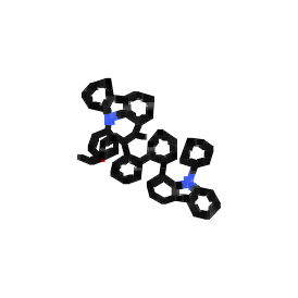 C/C=C\C=C/C(c1ccccc1-c1ccccc1C1=CCCc2c1n(-c1ccccc1)c1ccccc21)C(C)c1cccc2c3ccccc3n(C3C=CC=CC3)c12